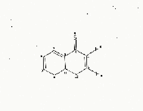 FC1=C(F)C(=S)C2=CC=CCC2C1